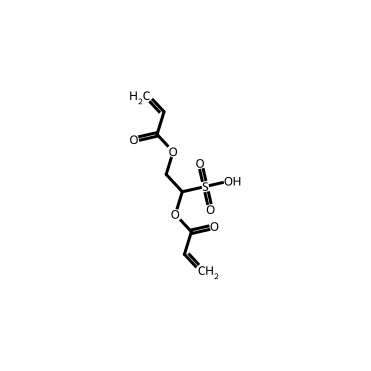 C=CC(=O)OCC(OC(=O)C=C)S(=O)(=O)O